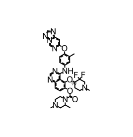 Cc1cc(Nc2ncnc3ccc(OC(=O)N4CCN(C)CC4C)c(O[C@@H]4CCN(C)CC4(F)F)c23)ccc1Oc1cc2ncnn2cn1